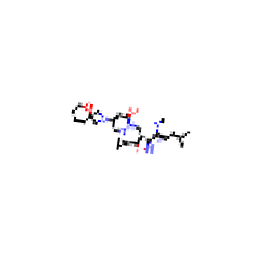 C=N/C(=C\C=C(C)C)c1noc(C2CC2)c1Cn1ncc(N2CC3(CCCCO3)C2)cc1=O